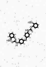 CCCCc1ccccc1SC(=S)Nc1ccc(Cc2ccc(NC(=S)Sc3ccccc3CCCC)cc2)cc1